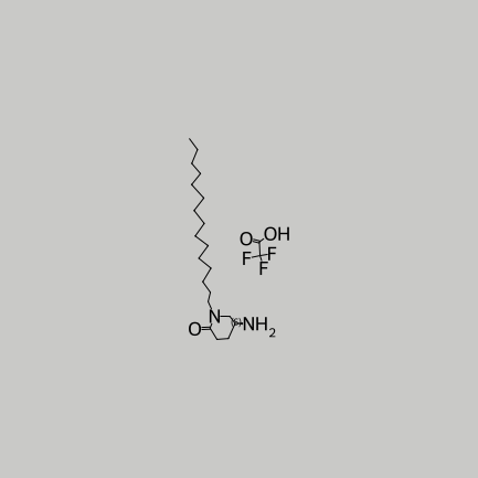 CCCCCCCCCCCCCCCN1C[C@@H](N)CCC1=O.O=C(O)C(F)(F)F